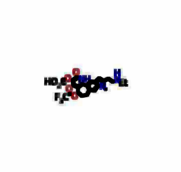 CCNCCc1cc2cc3c(cc2n1C)CCCc1c-3[nH]c(=O)c(OC(=O)O)c1OC(=O)C(F)(F)F